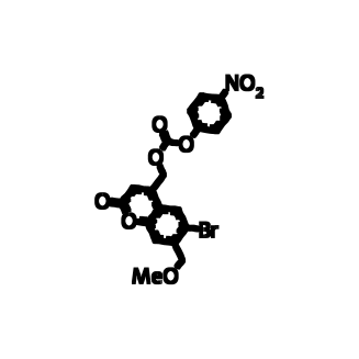 COCc1cc2oc(=O)cc(COC(=O)Oc3ccc([N+](=O)[O-])cc3)c2cc1Br